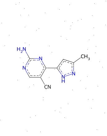 Cc1cc(-c2nc(N)ncc2C#N)[nH]n1